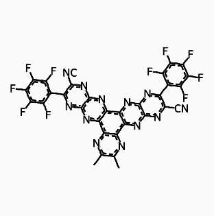 Cc1nc2c(nc1C)c1nc3nc(C#N)c(-c4c(F)c(F)c(F)c(F)c4F)nc3nc1c1nc3nc(C#N)c(-c4c(F)c(F)c(F)c(F)c4F)nc3nc21